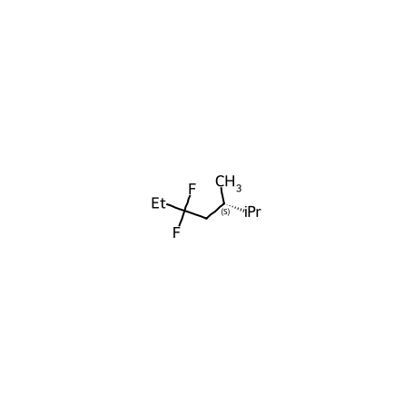 CCC(F)(F)C[C@H](C)C(C)C